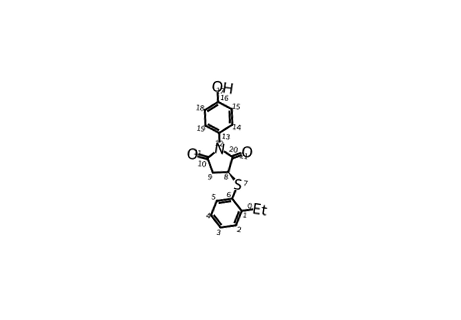 CCc1ccccc1S[C@H]1CC(=O)N(c2ccc(O)cc2)C1=O